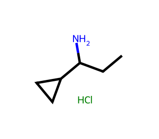 CCC(N)C1CC1.Cl